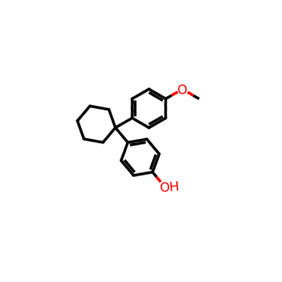 COc1ccc(C2(c3ccc(O)cc3)CCCCC2)cc1